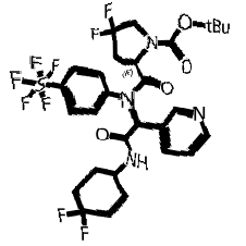 CC(C)(C)OC(=O)N1CC(F)(F)C[C@@H]1C(=O)N(c1ccc(S(F)(F)(F)(F)F)cc1)C(C(=O)NC1CCC(F)(F)CC1)c1cccnc1